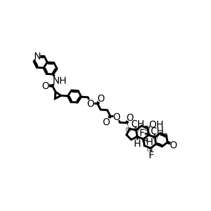 C[C@]12C[C@H](O)[C@@]3(F)[C@@H](C[C@H](F)C4=CC(=O)C=C[C@@]43C)[C@@H]1CC[C@@H]2C(=O)COC(=O)CCC(=O)OCc1ccc(C2CC2C(=O)Nc2ccc3cnccc3c2)cc1